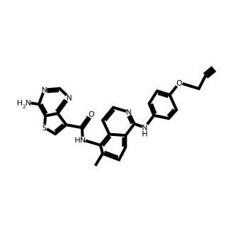 C#CCOc1ccc(Nc2nccc3c(NC(=O)c4csc5c(N)ncnc45)c(C)ccc23)cc1